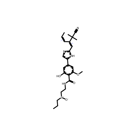 C/C=C\C(=C/c1ncc(-c2cc(O)c(C(=O)NCC[S+]([O-])CCC)c(OC)c2)[nH]1)C(C)(C)C#N